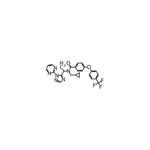 CC(c1ncnn1-c1ncccn1)N(CC1CC1)C(=O)c1ccc(Oc2ccc(C(F)(F)F)cc2)cc1